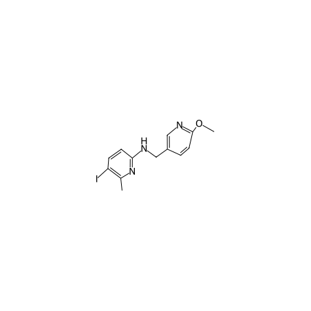 COc1ccc(CNc2ccc(I)c(C)n2)cn1